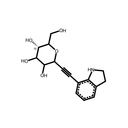 OCC1OC(C#Cc2cccc3c2NCC3)C(O)C(O)[C@@H]1O